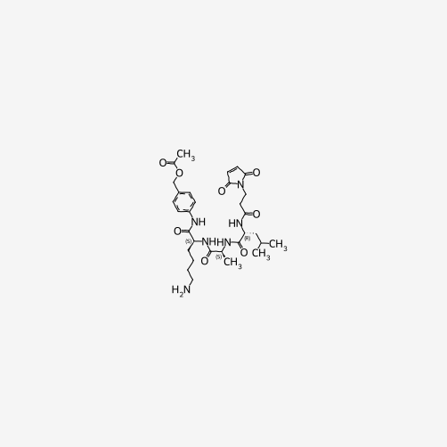 CC(=O)OCc1ccc(NC(=O)[C@H](CCCCN)NC(=O)[C@H](C)NC(=O)[C@@H](CC(C)C)NC(=O)CCN2C(=O)C=CC2=O)cc1